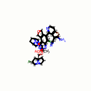 C[C@@H](O)CN1CC2CCC(C1)N2c1nc(OC[C@@]23CCCN2C[C@H](F)C3)nc2c(F)c(-c3nccc4sc(N)c(C#N)c34)c3c(c12)COC3